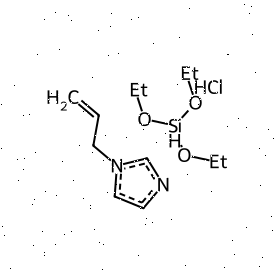 C=CCn1ccnc1.CCO[SiH](OCC)OCC.Cl